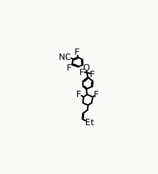 CC/C=C\CC1CC(F)C(c2ccc(C(F)(F)Oc3cc(F)c(C#N)c(F)c3)cc2)C(F)C1